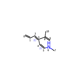 C=C/C=C(\C=C/NC)C(=C)C